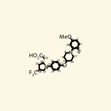 COc1ccc(F)c(N2CCC(Oc3ccc(N4C[C@H](C(F)(F)F)C[C@@H]4CC(=O)O)cc3)CC2)c1